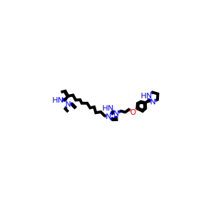 C=CN(CC)C(=N)/C(=C\C)CCCCCCCCCCn1ccn(CCCOc2ccc(C3=NCCCN3)cc2)c1=N